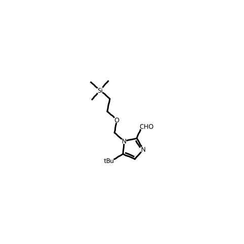 CC(C)(C)c1cnc(C=O)n1COCC[Si](C)(C)C